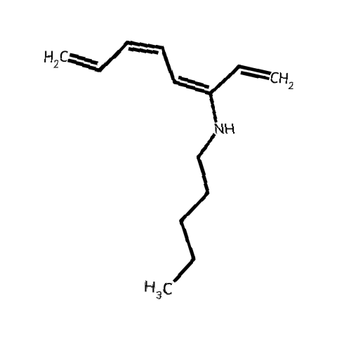 C=C/C=C\C=C(/C=C)NCCCCC